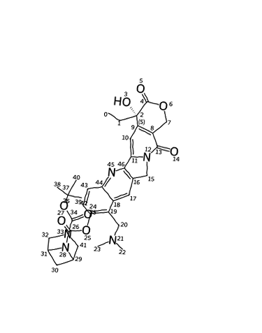 CC[C@@]1(O)C(=O)OCc2c1cc1n(c2=O)Cc2cc3c(CN(C)C)c(OC(=O)N4C5CC4CN(C(=O)OC(C)(C)C)C5)ccc3nc2-1